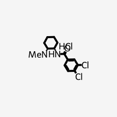 CN[C@H]1CCCC[C@H]1NC(=O)c1ccc(Cl)c(Cl)c1.Cl